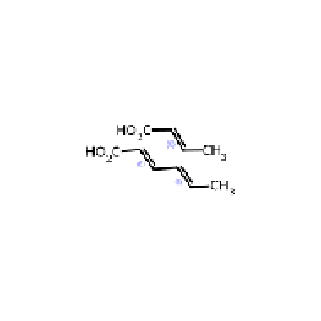 C/C=C/C(=O)O.C/C=C/C=C/C(=O)O